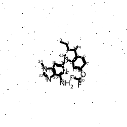 CCCC(C)c1ccc(OC(F)F)cc1N(C)c1cc2c(ncn2C)c(N)n1